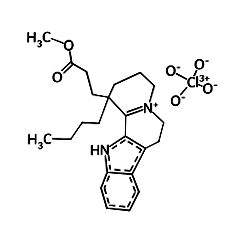 CCCCC1(CCC(=O)OC)CCC[N+]2=C1c1[nH]c3ccccc3c1CC2.[O-][Cl+3]([O-])([O-])[O-]